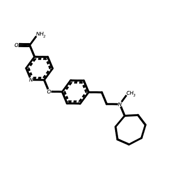 CN(CCc1ccc(Oc2ccc(C(N)=O)cn2)cc1)C1CCCCCC1